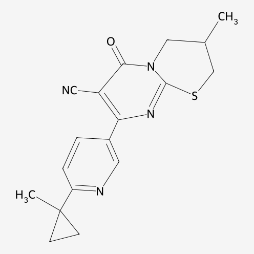 CC1CSc2nc(-c3ccc(C4(C)CC4)nc3)c(C#N)c(=O)n2C1